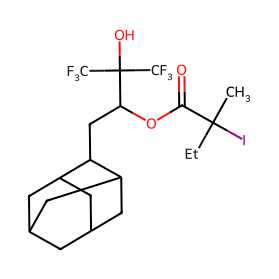 CCC(C)(I)C(=O)OC(CC1C2CC3CC(C2)CC1C3)C(O)(C(F)(F)F)C(F)(F)F